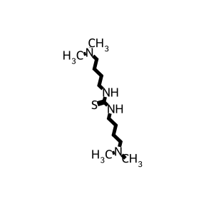 CN(C)CCCCNC(=S)NCCCCN(C)C